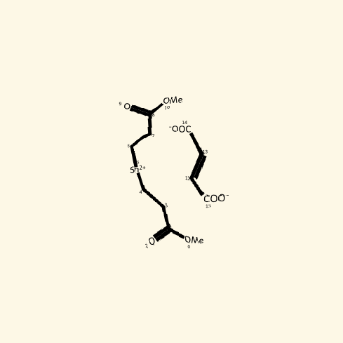 COC(=O)C[CH2][Sn+2][CH2]CC(=O)OC.O=C([O-])C=CC(=O)[O-]